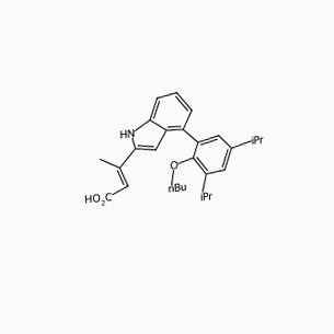 CCCCOc1c(-c2cccc3[nH]c(C(C)=CC(=O)O)cc23)cc(C(C)C)cc1C(C)C